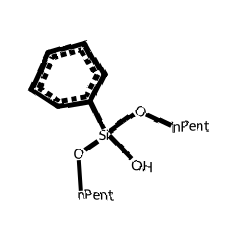 CCCCCO[Si](O)(OCCCCC)c1ccccc1